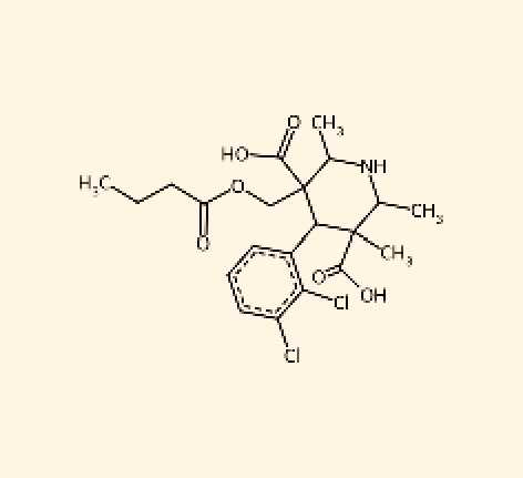 CCCC(=O)OCC1(C(=O)O)C(C)NC(C)C(C)(C(=O)O)C1c1cccc(Cl)c1Cl